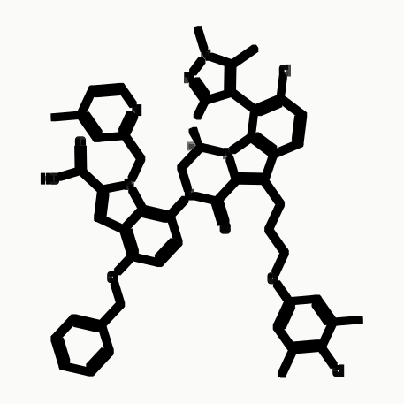 Cc1ccnc(Cn2c(C(=O)O)cc3c(OCc4ccccc4)ccc(N4C[C@@H](C)n5c(c(CCCOc6cc(C)c(Cl)c(C)c6)c6ccc(Cl)c(-c7c(C)nn(C)c7C)c65)C4=O)c32)c1